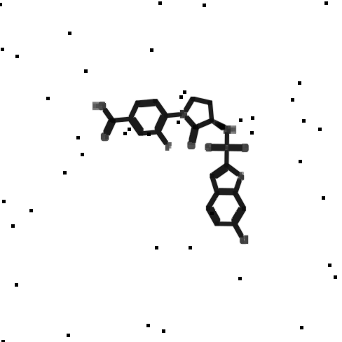 O=C(O)c1ccc(N2CC[C@@H](NS(=O)(=O)c3cc4ccc(Cl)cc4s3)C2=O)c(F)c1